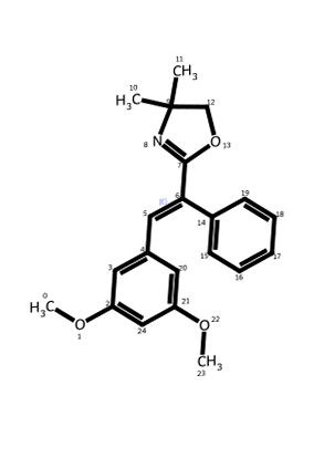 COc1cc(/C=C(/C2=NC(C)(C)CO2)c2ccccc2)cc(OC)c1